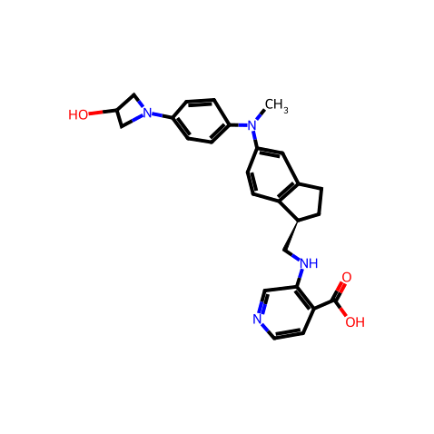 CN(c1ccc(N2CC(O)C2)cc1)c1ccc2c(c1)CC[C@H]2CNc1cnccc1C(=O)O